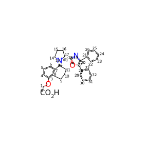 O=C(O)COc1cccc2c1CCC[C@H]2N1CCC[C@@H]1c1nc(-c2ccccc2)c(-c2ccccc2)o1